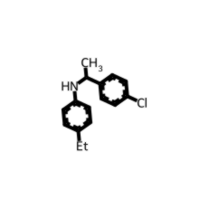 CCc1ccc(NC(C)c2ccc(Cl)cc2)cc1